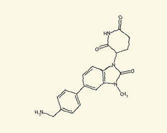 Cn1c(=O)n(C2CCC(=O)NC2=O)c2ccc(-c3ccc(CN)cc3)cc21